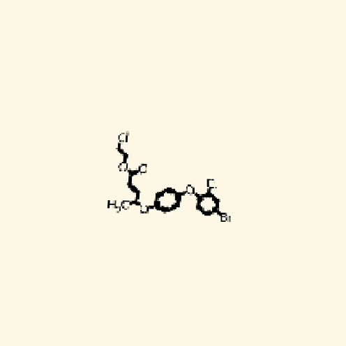 CC(C=CC(=O)OCCCl)Oc1ccc(Oc2ccc(Br)cc2Cl)cc1